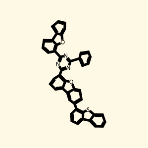 c1ccc(-c2nc(-c3cccc4c3oc3ccccc34)nc(-c3cccc4c3oc3ccc(-c5cccc6c5sc5ccccc56)cc34)n2)cc1